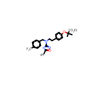 CCOC(=O)C(C)(C)Oc1ccc(CCN(Cc2ccc(C(F)(F)F)cc2)c2noc(C(C)C)n2)cc1